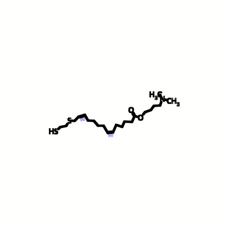 CN(C)CCCCOC(=O)CCCC/C=C\CCCC/C=C\CSCCS